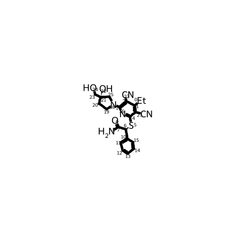 CCc1c(C#N)c(S[C@@H](C(N)=O)c2ccccc2)nc(N2CC[C@@](O)(CO)C2)c1C#N